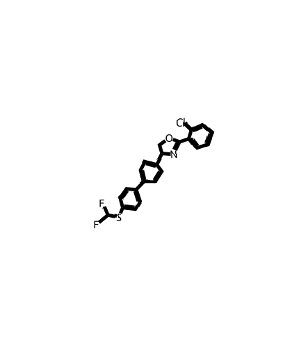 FC(F)Sc1ccc(-c2ccc(C3COC(c4ccccc4Cl)=N3)cc2)cc1